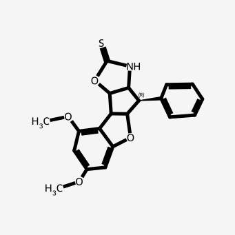 COc1cc(OC)c2c(c1)OC1C2C2OC(=S)NC2[C@H]1c1ccccc1